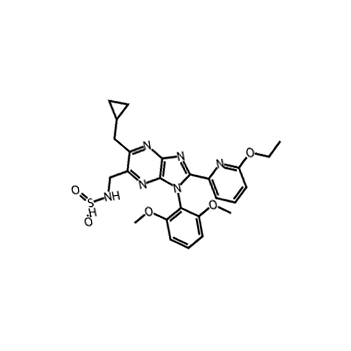 CCOc1cccc(-c2nc3nc(CC4CC4)c(CN[SH](=O)=O)nc3n2-c2c(OC)cccc2OC)n1